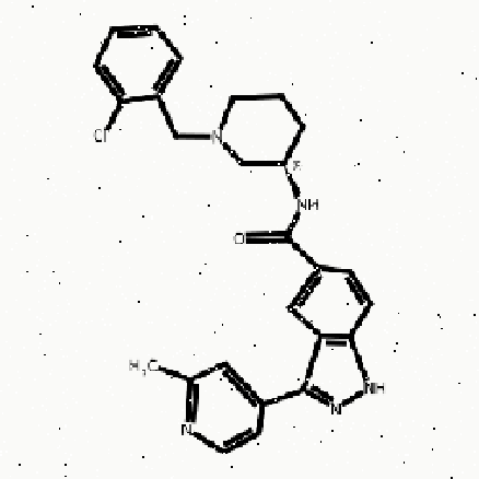 Cc1cc(-c2n[nH]c3ccc(C(=O)N[C@@H]4CCCN(Cc5ccccc5Cl)C4)cc23)ccn1